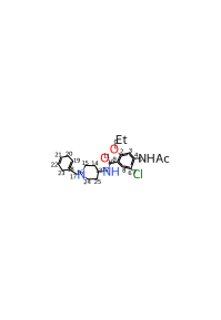 CCOc1cc(NC(C)=O)c(Cl)cc1C(=O)NC1CCN(CC2=CCC=CC2)CC1